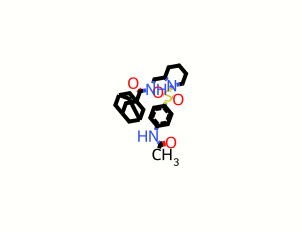 CC(=O)Nc1ccc(S(=O)(=O)N2CCCCC2CNC(=O)C23CC4CC(CC(C4)C2)C3)cc1